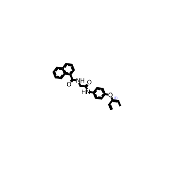 C=C/C(=C\C)Oc1ccc(NC(=O)CNC(=O)c2cccc3ccccc23)cc1